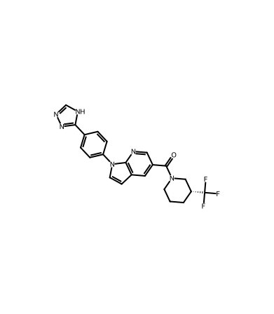 O=C(c1cnc2c(ccn2-c2ccc(-c3nnc[nH]3)cc2)c1)N1CCC[C@@H](C(F)(F)F)C1